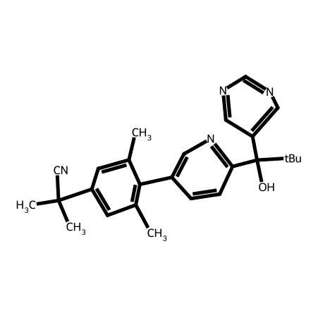 Cc1cc(C(C)(C)C#N)cc(C)c1-c1ccc(C(O)(c2cncnc2)C(C)(C)C)nc1